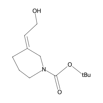 CC(C)(C)OC(=O)N1CCCC(=CCO)C1